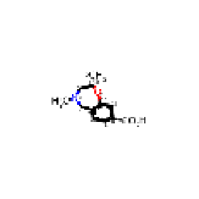 C[C@H]1CN(C)Cc2ccc(C(=O)O)cc2O1